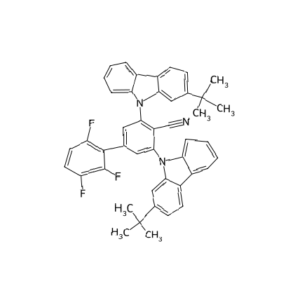 CC(C)(C)c1ccc2c3ccccc3n(-c3cc(-c4c(F)ccc(F)c4F)cc(-n4c5ccccc5c5ccc(C(C)(C)C)cc54)c3C#N)c2c1